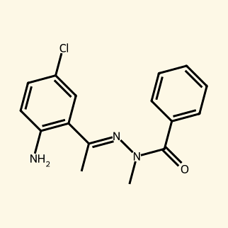 C/C(=N\N(C)C(=O)c1ccccc1)c1cc(Cl)ccc1N